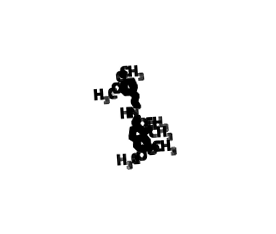 COc1ccc(CCCNCCC2(O)CCc3cc(OC)c(OC)cc3C2C(C)C)cc1OC